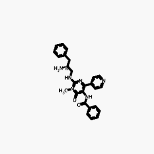 Cn1c(NC[C@@H](N)Cc2ccccc2)nc(-c2ccncc2)c(NC(=O)c2ccccc2)c1=O